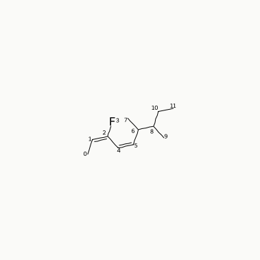 C/C=C(F)\C=C/C(C)C(C)CC